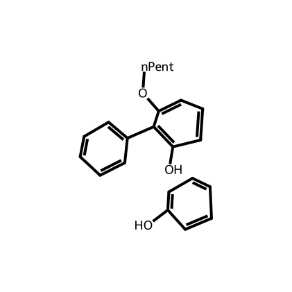 CCCCCOc1cccc(O)c1-c1ccccc1.Oc1ccccc1